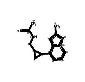 Cc1cc2c(C3CC3CNC(=O)C(F)(F)F)cccn2n1